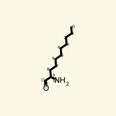 CCCCCCCCCC(N)C=O